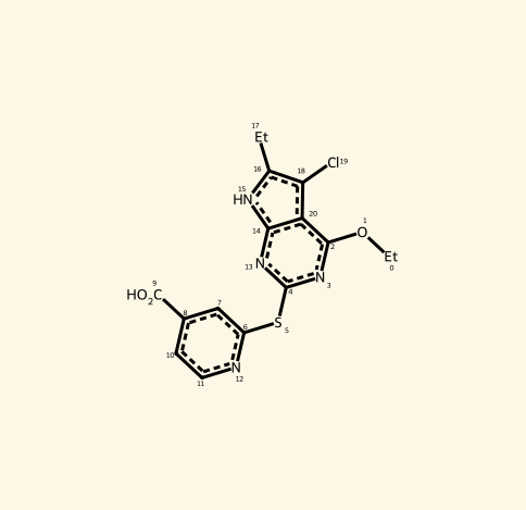 CCOc1nc(Sc2cc(C(=O)O)ccn2)nc2[nH]c(CC)c(Cl)c12